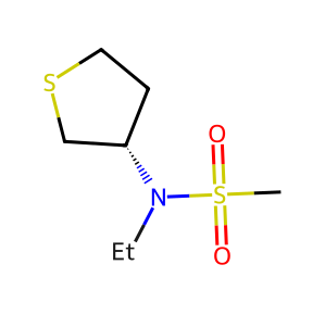 CCN([C@H]1CCSC1)S(C)(=O)=O